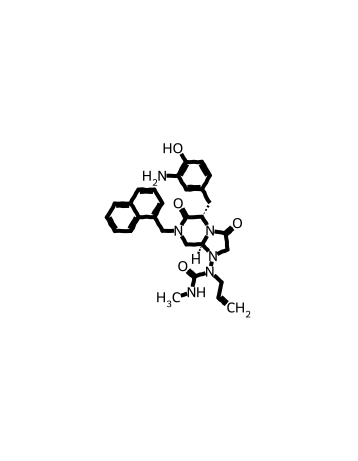 C=CCN(C(=O)NC)N1CC(=O)N2[C@@H](Cc3ccc(O)c(N)c3)C(=O)N(Cc3cccc4ccccc34)C[C@@H]21